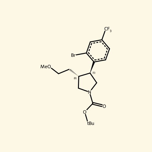 COCC[C@H]1CN(C(=O)OC(C)(C)C)C[C@@H]1c1ccc(C(F)(F)F)cc1Br